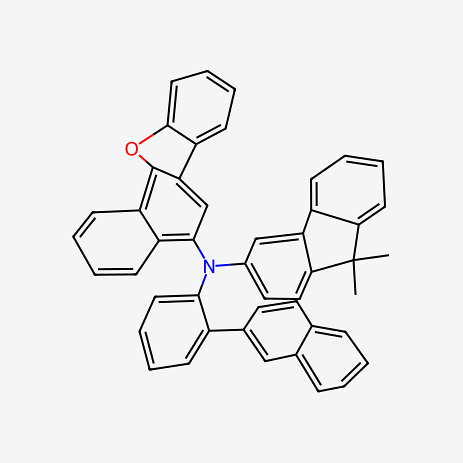 CC1(C)c2ccccc2-c2cc(N(c3ccccc3-c3ccc4ccccc4c3)c3cc4c5ccccc5oc4c4ccccc34)ccc21